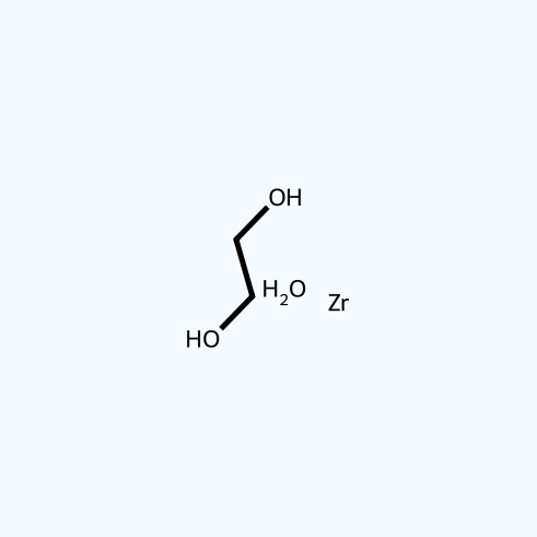 O.OCCO.[Zr]